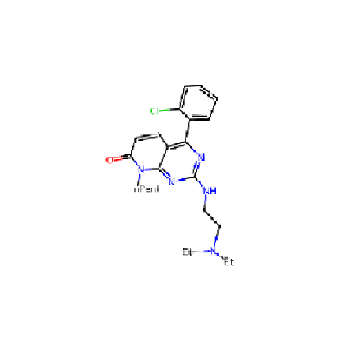 CCCCCn1c(=O)ccc2c(-c3ccccc3Cl)nc(NCCN(CC)CC)nc21